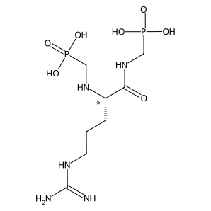 N=C(N)NCCC[C@H](NCP(=O)(O)O)C(=O)NCP(=O)(O)O